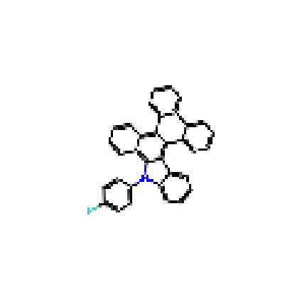 Fc1ccc(-n2c3ccccc3c3c4c5ccccc5c5ccccc5c4c4ccccc4c32)cc1